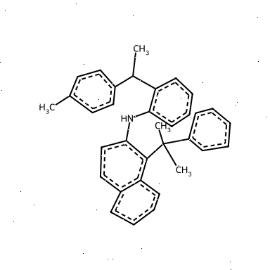 Cc1ccc(C(C)c2ccccc2Nc2ccc3ccccc3c2C(C)(C)c2ccccc2)cc1